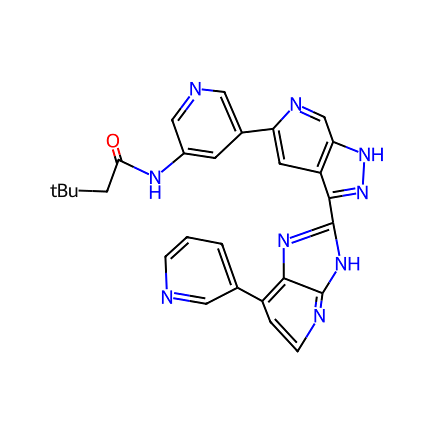 CC(C)(C)CC(=O)Nc1cncc(-c2cc3c(-c4nc5c(-c6cccnc6)ccnc5[nH]4)n[nH]c3cn2)c1